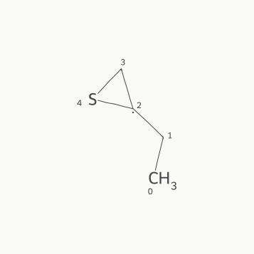 CC[C]1CS1